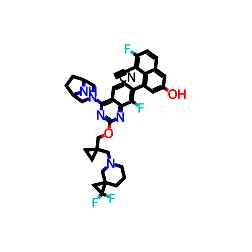 C#Cc1c(F)ccc2cc(O)cc(-c3c(C#N)cc4c(N5CC6CCC(C5)N6)nc(OCC5(CN6CCCC7(C6)CC7(F)F)CC5)nc4c3F)c12